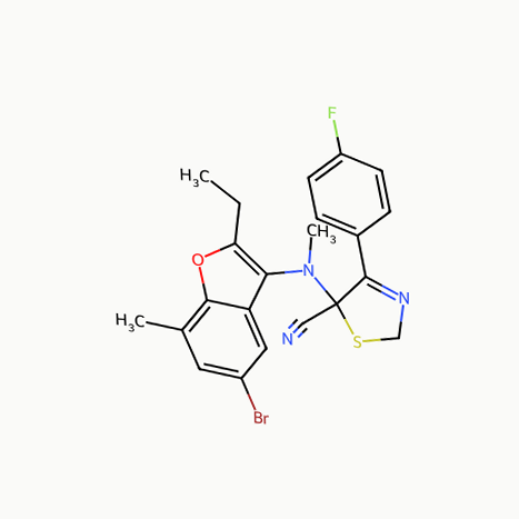 CCc1oc2c(C)cc(Br)cc2c1N(C)C1(C#N)SCN=C1c1ccc(F)cc1